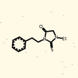 CCN1CC(=O)N(CCc2ccccc2)C1=S